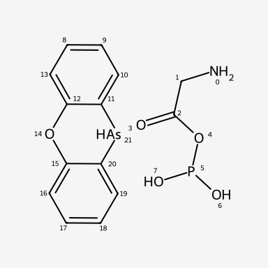 NCC(=O)OP(O)O.c1ccc2c(c1)Oc1ccccc1[AsH]2